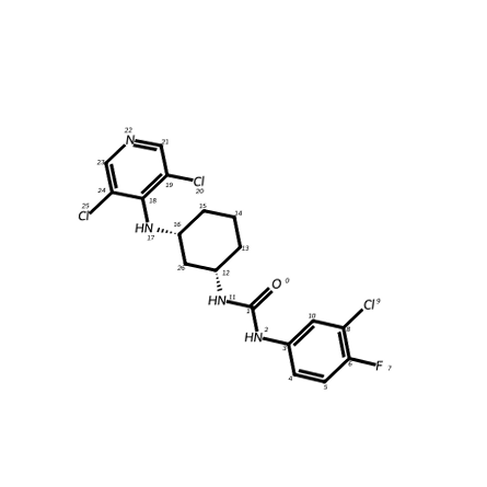 O=C(Nc1ccc(F)c(Cl)c1)N[C@H]1CCC[C@@H](Nc2c(Cl)cncc2Cl)C1